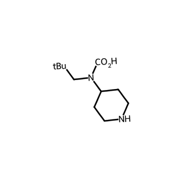 CC(C)(C)CN(C(=O)O)C1CCNCC1